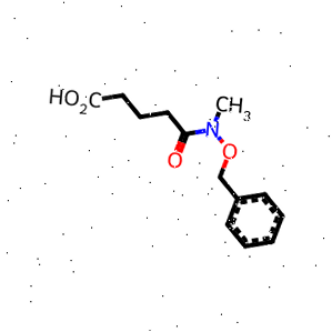 CN(OCc1ccccc1)C(=O)CCCC(=O)O